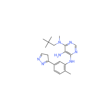 Cc1ccc(C2=NN=CC2)cc1Nc1ncnc(N(C)CC(C)(C)C)c1N